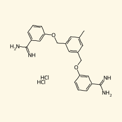 Cc1cc(COc2cccc(C(=N)N)c2)cc(COc2cccc(C(=N)N)c2)c1.Cl.Cl